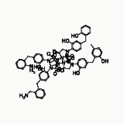 Cc1ccc(O)c(Cc2ccc(N3CC(=O)[N+](N4C(=O)CN(c5ccc(Cc6ccccc6CN)cc5O)S4(=O)=O)([N+]4(N5C(=O)CN(c6ccc(Cc7ccccc7N)cc6O)S5(=O)=O)C(=O)CN(c5ccc(Cc6ccccc6O)cc5O)S4(=O)=O)S3(=O)=O)c(O)c2)c1